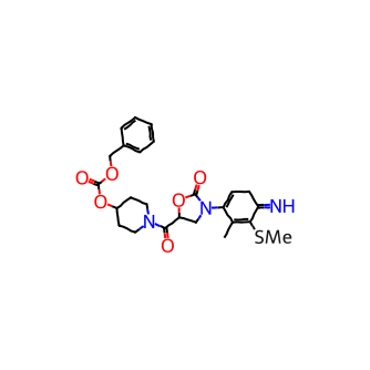 CSC1=C(C)C(N2CC(C(=O)N3CCC(OC(=O)OCc4ccccc4)CC3)OC2=O)=CCC1=N